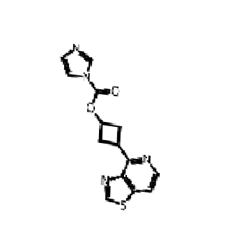 O=C(OC1CC(c2nccc3scnc23)C1)n1ccnc1